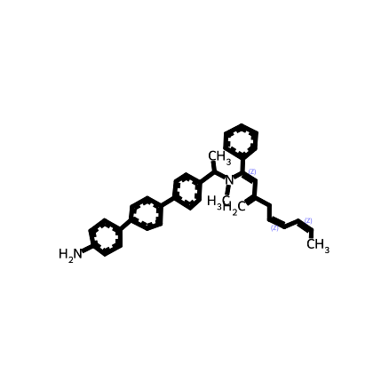 C=C(/C=C(/c1ccccc1)N(C)C(C)c1ccc(-c2ccc(-c3ccc(N)cc3)cc2)cc1)C/C=C\C=C/C